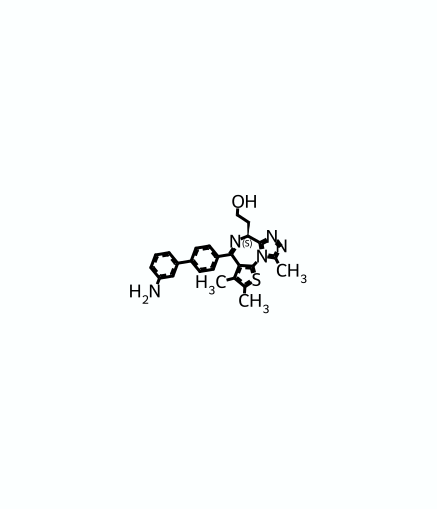 Cc1sc2c(c1C)C(c1ccc(-c3cccc(N)c3)cc1)=N[C@@H](CCO)c1nnc(C)n1-2